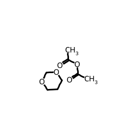 C1COCOC1.CC(=O)OC(C)=O